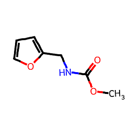 COC(=O)NCc1ccco1